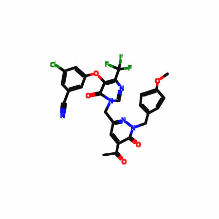 COc1ccc(Cn2nc(Cn3cnc(C(F)(F)F)c(Oc4cc(Cl)cc(C#N)c4)c3=O)cc(C(C)=O)c2=O)cc1